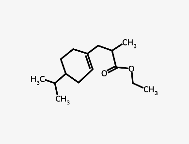 CCOC(=O)C(C)CC1=CCC(C(C)C)CC1